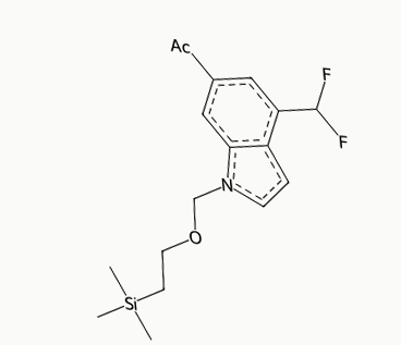 CC(=O)c1cc(C(F)F)c2ccn(COCC[Si](C)(C)C)c2c1